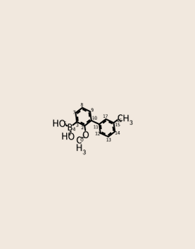 COc1c(B(O)O)cccc1-c1cccc(C)c1